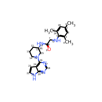 Cc1cc(C)c(NCC(=O)N[C@@H]2CCCN(c3ncnc4[nH]ccc34)C2)c(C)c1